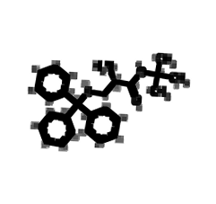 CC(C)(C)OC(=O)[C@H](N)CSC(c1ccccc1)(c1ccccc1)c1ccccc1